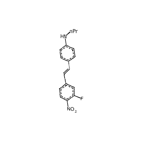 CCCNc1ccc(C=Cc2ccc([N+](=O)[O-])c(F)c2)cc1